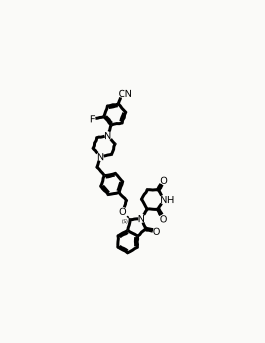 N#Cc1ccc(N2CCN(Cc3ccc(CO[C@H]4c5ccccc5C(=O)N4C4CCC(=O)NC4=O)cc3)CC2)c(F)c1